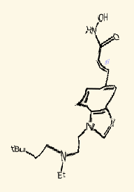 CCN(CCn1cnc2cc(/C=C/C(=O)NO)ccc21)CCC(C)(C)C